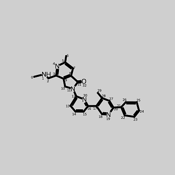 CNCc1nc(C)cc2c1CN(c1cccc(-c3cnc(-c4ccccc4)cc3C)n1)C2=O